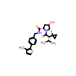 Cc1ccsc1-c1ccc(CNC(=O)[C@@H]2C[C@@H](O)CN2C(=O)[C@@H](C(C)C)C2(F)CC2)cc1